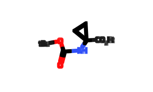 C[CH]OC(=O)C1(NC(=O)OC(C)(C)C)CC1